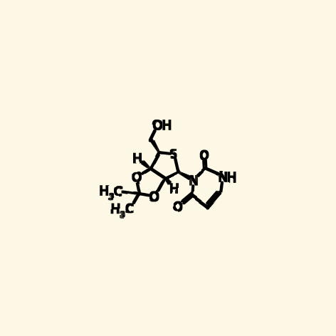 CC1(C)O[C@@H]2[C@H](O1)[C@@H](CO)S[C@H]2n1c(=O)cc[nH]c1=O